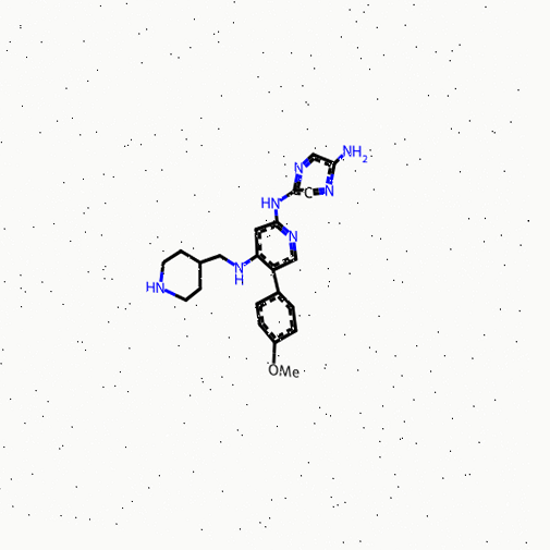 COc1ccc(-c2cnc(Nc3cnc(N)cn3)cc2NCC2CCNCC2)cc1